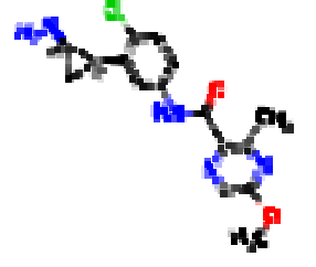 COc1cnc(C(=O)Nc2ccc(Cl)c([C@H]3C[C@H]3N)c2)c(C)n1